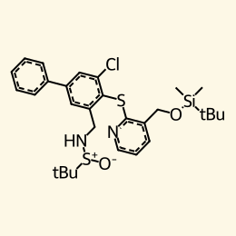 CC(C)(C)[S+]([O-])NCc1cc(-c2ccccc2)cc(Cl)c1Sc1ncccc1CO[Si](C)(C)C(C)(C)C